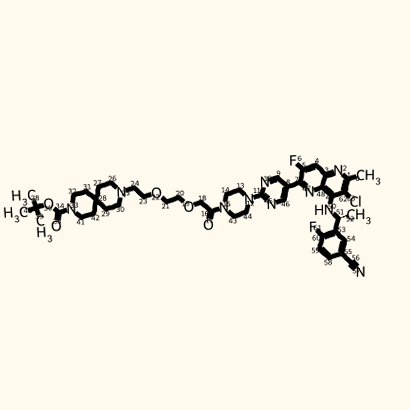 Cc1nc2cc(F)c(-c3cnc(N4CCN(C(=O)COCCOCCN5CCC6(CC5)CCN(C(=O)OC(C)(C)C)CC6)CC4)nc3)nc2c(N[C@H](C)c2cc(C#N)ccc2F)c1Cl